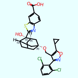 O=C(O)c1ccc2nc([C@@]3(O)[C@@H]4CC5C[C@H]3C[C@](OCc3c(-c6c(Cl)cccc6Cl)noc3C3CC3)(C5)C4)sc2c1